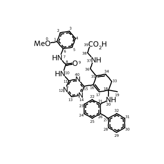 COc1ccccc1NC(=O)Nc1ncnc(C2=CC(C)(Nc3ccccc3-c3ccccc3)CC=C2CNCC(=O)O)n1